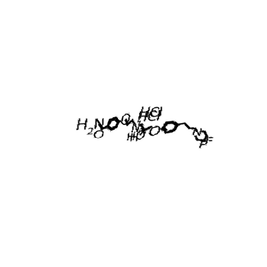 Cl.Cl.NC(=O)c1ccc(OCCNC[C@H](O)COc2ccc(CCCN3CCC(F)(F)CC3)cc2)cc1